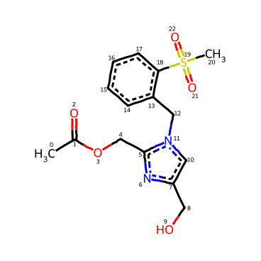 CC(=O)OCc1nc(CO)cn1Cc1ccccc1S(C)(=O)=O